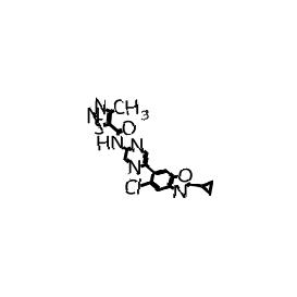 Cc1nnsc1C(=O)Nc1cnc(-c2cc3oc(C4CC4)nc3cc2Cl)cn1